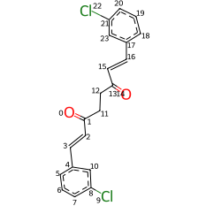 O=C(/C=C/c1cccc(Cl)c1)CCC(=O)/C=C/c1cccc(Cl)c1